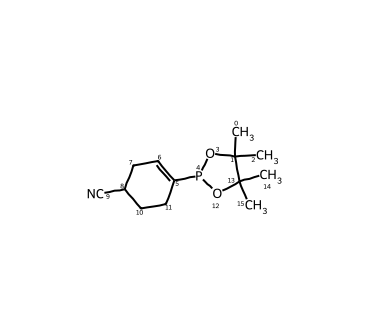 CC1(C)OP(C2=CCC(C#N)CC2)OC1(C)C